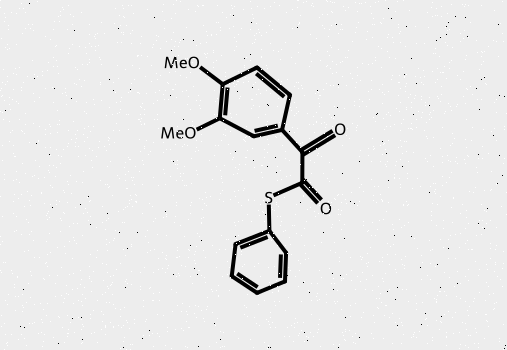 COc1ccc(C(=O)C(=O)Sc2ccccc2)cc1OC